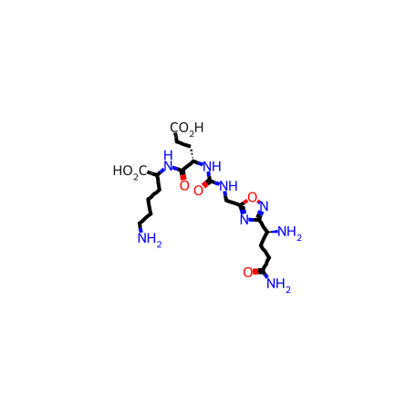 NCCCCC(NC(=O)[C@H](CCC(=O)O)NC(=O)NCc1nc([C@@H](N)CCC(N)=O)no1)C(=O)O